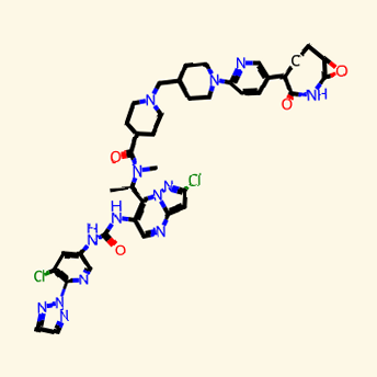 C[C@H](c1c(NC(=O)Nc2cnc(-n3nccn3)c(Cl)c2)cnc2cc(Cl)nn12)N(C)C(=O)C1CCN(CC2CCN(c3ccc(C4CCC5OC5NC4=O)cn3)CC2)CC1